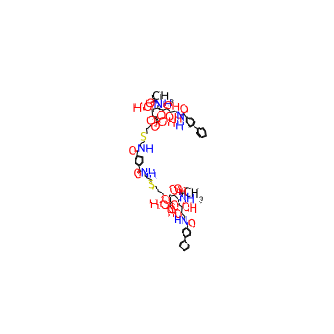 CC(=O)N[C@H]1[C@H]([C@H](O)[C@H](O)CNC(=O)c2ccc(-c3ccccc3)cc2)O[C@@](OCCCSCCNC(=O)c2ccc(C(=O)NCCSCCCO[C@]3(C(=O)O)C[C@H](O)[C@@H](NC(C)=O)[C@H]([C@H](O)[C@H](O)CNC(=O)c4ccc(-c5ccccc5)cc4)O3)cc2)(C(=O)O)C[C@@H]1O